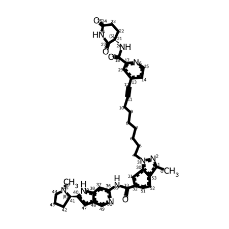 Cc1nn(CCCCCCCC#Cc2ccnc(C(=O)N[C@H]3CCC(=O)NC3=O)c2)c2cc(C(=O)Nc3cc4[nH]c([C@H]5CCCN5C)cc4cn3)ccc12